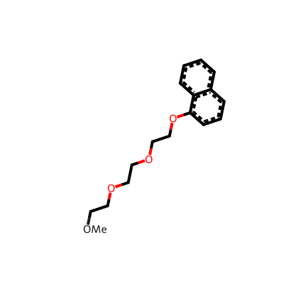 COCCOCCOCCOc1cccc2ccccc12